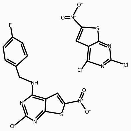 O=[N+]([O-])c1cc2c(Cl)nc(Cl)nc2s1.O=[N+]([O-])c1cc2c(NCc3ccc(F)cc3)nc(Cl)nc2s1